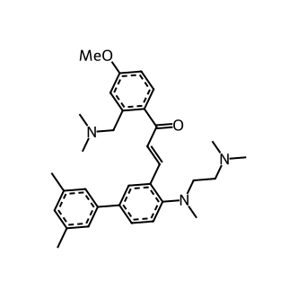 COc1ccc(C(=O)C=Cc2cc(-c3cc(C)cc(C)c3)ccc2N(C)CCN(C)C)c(CN(C)C)c1